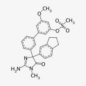 COc1cc(OS(C)(=O)=O)cc(-c2cccc(C3(c4ccc5c(c4)CCC5)N=C(N)N(C)C3=O)c2)c1